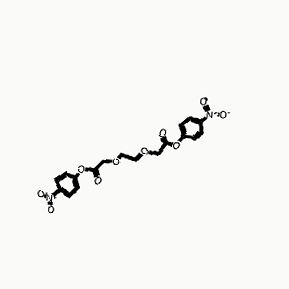 O=C(COCCOCC(=O)Oc1ccc([N+](=O)[O-])cc1)Oc1ccc([N+](=O)[O-])cc1